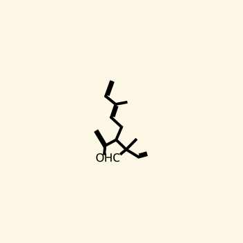 C=C/C(C)=C/CC(C(=C)C)C(C)(C=C)C=O